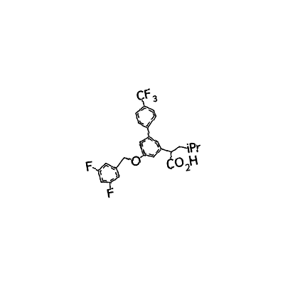 CC(C)CC(C(=O)O)c1cc(OCc2cc(F)cc(F)c2)cc(-c2ccc(C(F)(F)F)cc2)c1